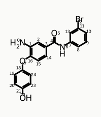 Nc1cc(C(=O)Nc2cccc(Br)c2)ccc1Oc1ccc(O)cc1